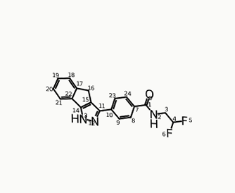 O=C(NCC(F)F)c1ccc(-c2n[nH]c3c2Cc2ccccc2-3)cc1